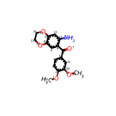 COc1ccc(C(=O)c2cc3c(cc2N)OCCO3)cc1OC